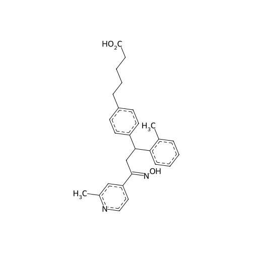 Cc1cc(/C(CC(c2ccc(CCCCC(=O)O)cc2)c2ccccc2C)=N/O)ccn1